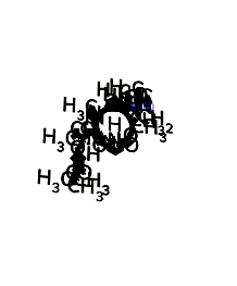 C=C/C(=C(\N=C/C)[C@H](C)OC)c1c2c3cc(ccc3n1CC)-c1nc(nn1C)C[C@H](NC(=O)[C@@H](COC1CN(C(=O)OC(C)(C)C)C1)C(C)C)C(=O)N1CCC[C@H](N1)C(=O)OCC(C)(C)C2